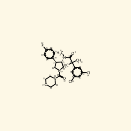 CN(C(=O)C(C)(C)c1cc(Cl)cc(Cl)c1)[C@@H]1CN(C(=O)N2CCOCC2)C[C@H]1c1ccc(F)cc1